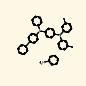 Cc1cccc(N(c2ccc(N(c3ccccc3)c3ccc(-c4ccccc4)cc3)cc2)c2cccc(C)c2)c1.Nc1ccccc1